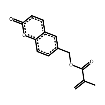 C=C(C)C(=O)OCc1ccc2oc(=O)ccc2c1